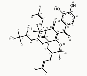 CC(C)=CC[C@H]1C[C@@]23C[C@@H](C[C@H](O)C(C)(C)O)C(C)(C)[C@@](CC=C(C)C)(C(=O)C(C(=O)c4ccc(O)c(O)c4)=C2OC1(C)C)C3=O